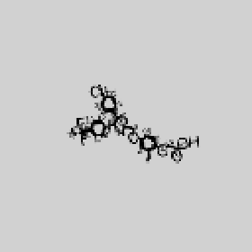 Cc1cc(OCc2nc(-c3ccc(C(F)(F)F)cc3)c(-c3ccc(Cl)cc3)s2)ccc1OCC(=O)O